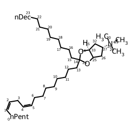 CCCCC/C=C\C/C=C\CCCCCCCCC1(CCCCCCCCCCCCCCCCCC)OC2C[C@@H]([N+](C)(C)C)C[C@@H]2O1